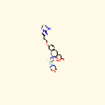 O=C([O-])C[C@@H]1Cc2ccc(OCCc3cn4c(n3)NCCC4)cc2C[N+](CCN2CCOCC2)(CC(F)(F)F)C1=O